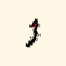 C\C=C1/C(=C\C=C\C(=O)N(C)C[C@H](C)C(=O)NCCNC(=O)c2ccc(-c3nnc(-c4ncccn4)nn3)nc2)C(=O)OC12c1ccc(N(C)C)cc1Oc1cc(N(C)C)ccc12